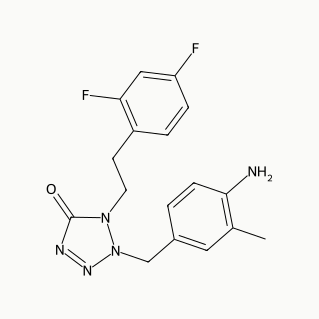 Cc1cc(Cn2nnc(=O)n2CCc2ccc(F)cc2F)ccc1N